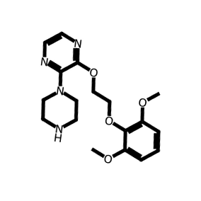 COc1cccc(OC)c1OCCOc1nccnc1N1CCNCC1